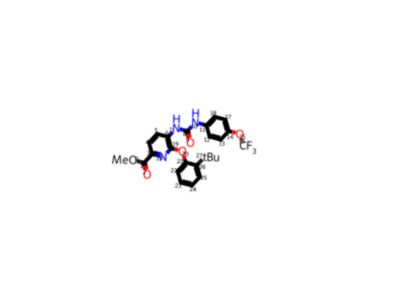 COC(=O)c1ccc(NC(=O)Nc2ccc(OC(F)(F)F)cc2)c(Oc2ccccc2C(C)(C)C)n1